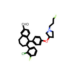 O=Cc1ccc2c(c1)CCCC(c1cccc(F)c1Cl)=C2c1ccc(OC2CCN(CCCF)C2)cc1